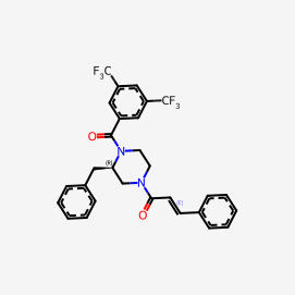 O=C(/C=C/c1ccccc1)N1CCN(C(=O)c2cc(C(F)(F)F)cc(C(F)(F)F)c2)[C@H](Cc2ccccc2)C1